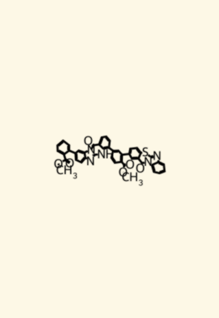 COC(=O)c1ccccc1-c1ccc2nc3[nH]c4c(-c5ccc(C(=O)OC)c(-c6ccc7sc8nc9ccccc9n8c(=O)c7c6)c5)cccc4c(=O)n3c2c1